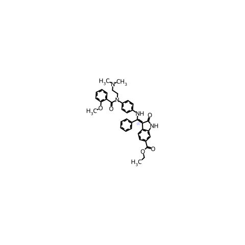 CCOC(=O)c1ccc2c(c1)NC(=O)/C2=C(\Nc1ccc(N(CCN(C)C)C(=O)c2ccccc2OC)cc1)c1ccccc1